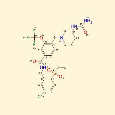 CCS(=O)(=O)c1ccc(Cl)cc1CNC(=O)c1ccc(CN2CCCC(NC(N)=O)C2)c(OC(F)(F)F)c1